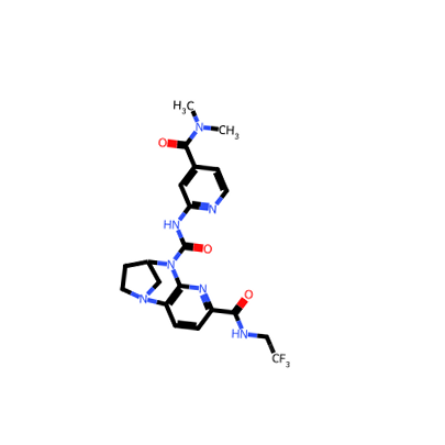 CN(C)C(=O)c1ccnc(NC(=O)N2c3nc(C(=O)NCC(F)(F)F)ccc3N3CCC2C3)c1